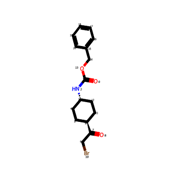 O=C(N[C@H]1CC[C@H](C(=O)CBr)CC1)OCc1ccccc1